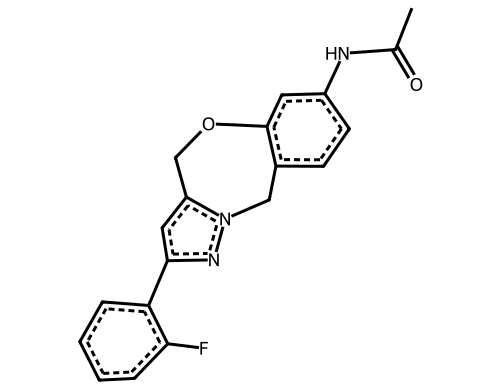 CC(=O)Nc1ccc2c(c1)OCc1cc(-c3ccccc3F)nn1C2